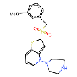 COc1cccc(CS(=O)(=O)C2C=C3C(=CC=CN3N3CCNCC3)S2)c1